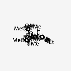 CCN1CCN(c2ccc(Nc3cc4c(OCc5cc(OC)c(OC)c(OC)c5)c(C(=O)c5c(F)c(OC)cc(OC)c5F)oc4cn3)c(N)c2)CC1